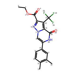 CCOC(=O)c1nn2cc(-c3ccc(C)c(C)c3)[nH]c(=O)c2c1C(F)(F)F